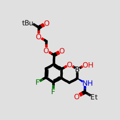 CCC(=O)N[C@H]1Cc2c(F)c(F)cc(C(=O)OCOC(=O)C(C)(C)C)c2OB1O